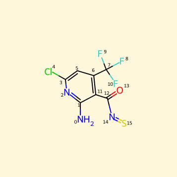 Nc1nc(Cl)cc(C(F)(F)F)c1C(=O)N=S